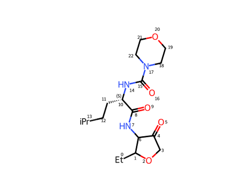 CCC1OCC(=O)C1NC(=O)[C@H](CCC(C)C)NC(=O)N1CCOCC1